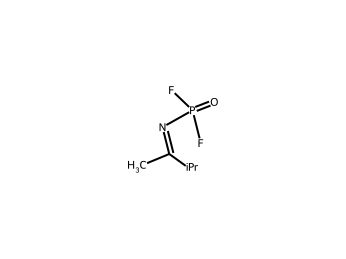 C/C(=N/P(=O)(F)F)C(C)C